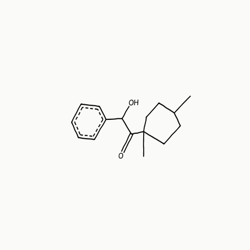 CC1CCC(C)(C(=O)C(O)c2ccccc2)CC1